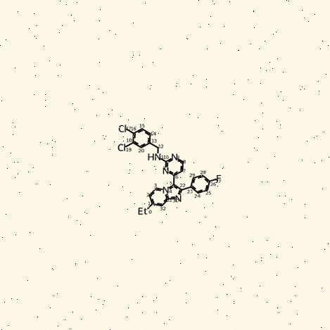 CCc1ccn2c(-c3ccnc(NCc4ccc(Cl)c(Cl)c4)n3)c(-c3ccc(F)cc3)nc2c1